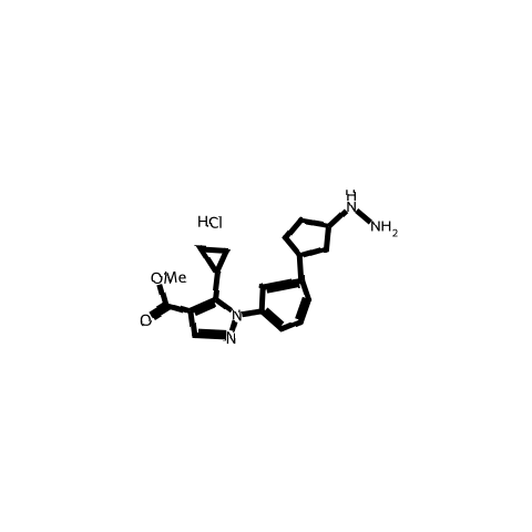 COC(=O)c1cnn(-c2cccc(C3CCC(NN)C3)c2)c1C1CC1.Cl